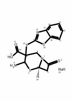 NC1S[C@@H]2CC(=O)N2CC1(Sc1nc2ccccc2s1)C(=O)O.[NaH]